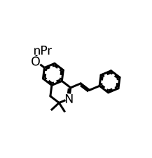 CCCOc1ccc2c(c1)CC(C)(C)N=C2/C=C/c1ccccc1